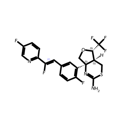 NC1=N[C@@]2(c3cc(/C=C(\F)c4ccc(F)cn4)ccc3F)CO[C@H](C(F)(F)F)[C@H]2CS1